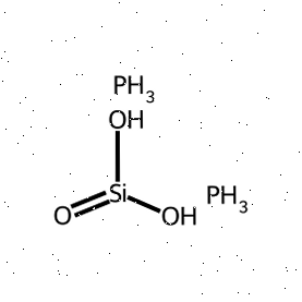 O=[Si](O)O.P.P